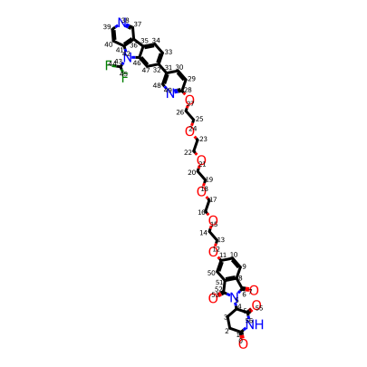 O=C1CCC(N2C(=O)c3ccc(OCCOCCOCCOCCOCCOc4ccc(-c5ccc6c7cnccc7n(C(F)F)c6c5)cn4)cc3C2=O)C(=O)N1